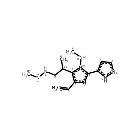 C=Cc1nc(-c2ccn[nH]2)n(NC)c1C(C)CNNC